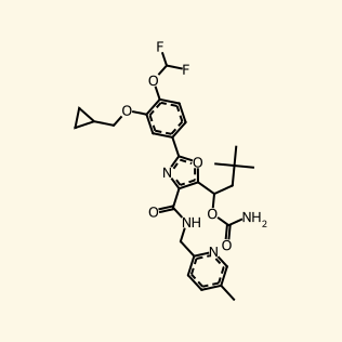 Cc1ccc(CNC(=O)c2nc(-c3ccc(OC(F)F)c(OCC4CC4)c3)oc2C(CC(C)(C)C)OC(N)=O)nc1